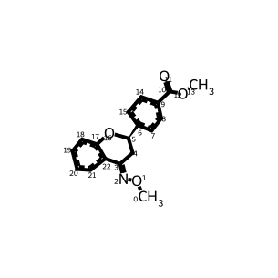 CON=C1C[C@H](c2ccc(C(=O)OC)cc2)Oc2ccccc21